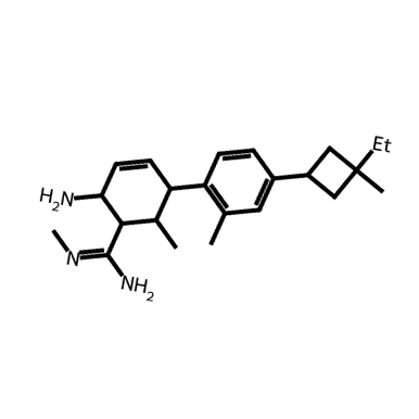 CCC1(C)CC(c2ccc(C3C=CC(N)C(/C(N)=N\C)C3C)c(C)c2)C1